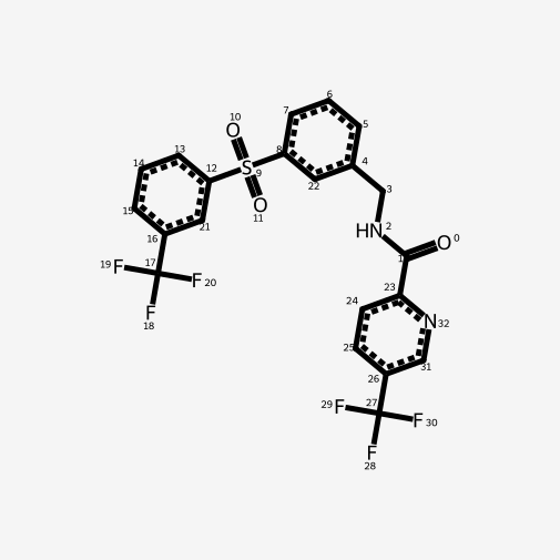 O=C(NCc1cccc(S(=O)(=O)c2cccc(C(F)(F)F)c2)c1)c1ccc(C(F)(F)F)cn1